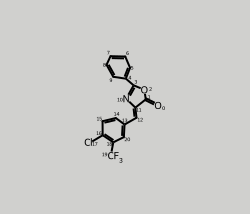 O=C1OC(c2ccccc2)=N/C1=C\c1ccc(Cl)c(C(F)(F)F)c1